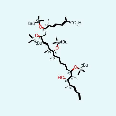 C=CC=C[C@H](C)[C@H](O)[C@@H](C)[C@@H](CCCC[C@H](C)[C@@H](O[Si](C)(C)C(C)(C)C)[C@@H](C)C=C[C@H](C[C@H](O[Si](C)(C)C(C)(C)C)[C@H](C)C=CC=C(C)C(=O)O)O[Si](C)(C)C(C)(C)C)O[Si](C)(C)C(C)(C)C